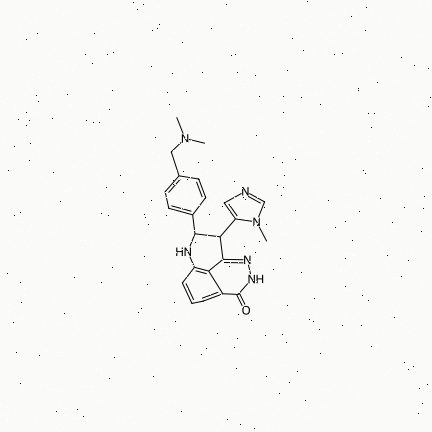 CN(C)Cc1ccc(C2Nc3cccc4c(=O)[nH]nc(c34)C2c2cncn2C)cc1